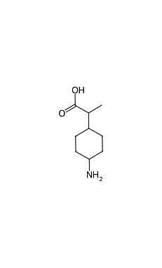 CC(C(=O)O)C1CCC(N)CC1